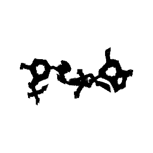 O=C(N[C@@H]1[C@@H]2C[C@@](O)(c3cc(Cl)cc4[nH]ncc34)C[C@@H]21)c1ccc(F)c(OC(F)(F)F)c1